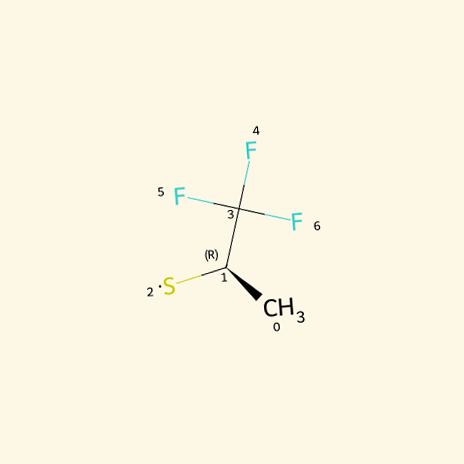 C[C@@H]([S])C(F)(F)F